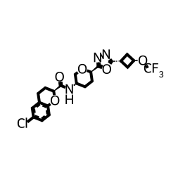 O=C(N[C@H]1CC[C@H](c2nnc([C@H]3C[C@@H](OC(F)(F)F)C3)o2)OC1)[C@@H]1CCc2cc(Cl)ccc2O1